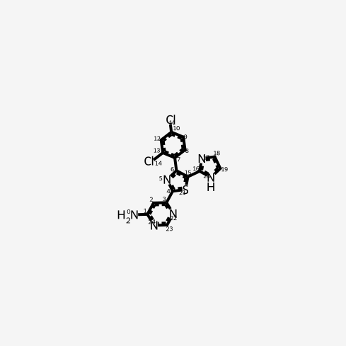 Nc1cc(-c2nc(-c3ccc(Cl)cc3Cl)c(-c3ncc[nH]3)s2)ncn1